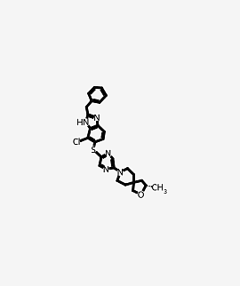 C[C@H]1CC2(CCN(c3cnc(Sc4ccc5nc(Cc6ccccc6)[nH]c5c4Cl)cn3)CC2)CO1